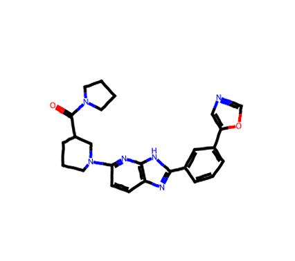 O=C(C1CCCN(c2ccc3nc(-c4cccc(-c5cnco5)c4)[nH]c3n2)C1)N1CCCC1